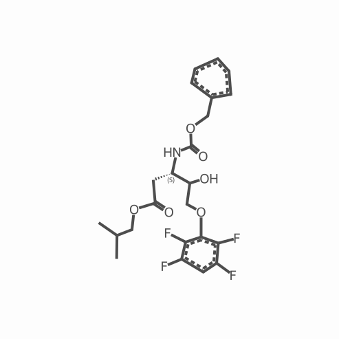 CC(C)COC(=O)C[C@H](NC(=O)OCc1ccccc1)C(O)COc1c(F)c(F)cc(F)c1F